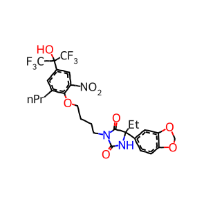 CCCc1cc(C(O)(C(F)(F)F)C(F)(F)F)cc([N+](=O)[O-])c1OCCCCN1C(=O)NC(CC)(c2ccc3c(c2)OCO3)C1=O